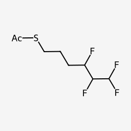 CC(=O)SCCCC(F)C(F)C(F)F